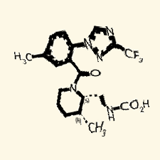 Cc1ccc(-n2cnc(C(F)(F)F)n2)c(C(=O)N2CCC[C@@H](C)[C@H]2CNC(=O)O)c1